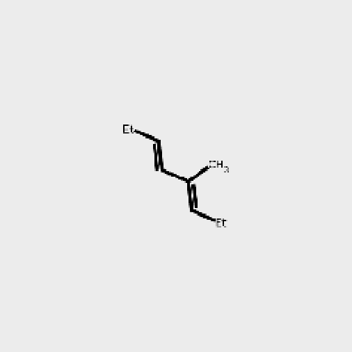 CC/C=C/C(C)=C/CC